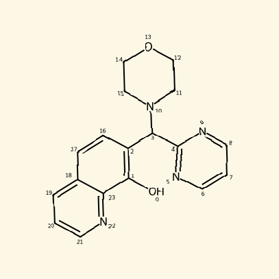 Oc1c(C(c2ncccn2)N2CCOCC2)ccc2cccnc12